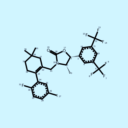 C[C@H]1[C@@H](c2cc(C(F)(F)F)cc(C(F)(F)F)c2)OC(=O)N1CC1=C(c2cc(I)ccc2F)CCC(C)(C)C1